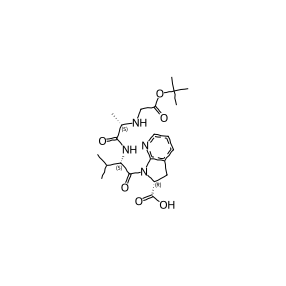 CC(C)[C@H](NC(=O)[C@H](C)NCC(=O)OC(C)(C)C)C(=O)N1c2ncccc2C[C@@H]1C(=O)O